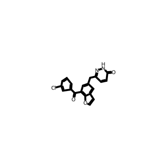 O=C(c1cccc(Cl)c1)c1cc(Cc2ccc(=O)[nH]n2)cc2ccoc12